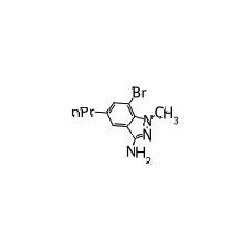 CCCc1cc(Br)c2c(c1)c(N)nn2C